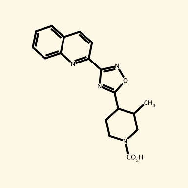 CC1CN(C(=O)O)CCC1c1nc(-c2ccc3ccccc3n2)no1